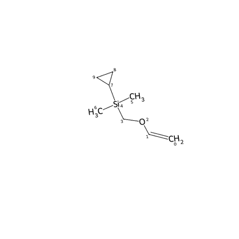 C=COC[Si](C)(C)C1CC1